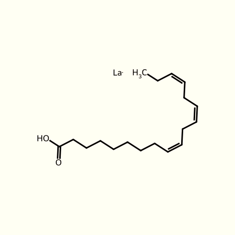 CC/C=C\C/C=C\C/C=C\CCCCCCCC(=O)O.[La]